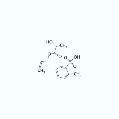 C=CCOC(=O)C(C)O.Cc1ccccc1S(=O)(=O)O